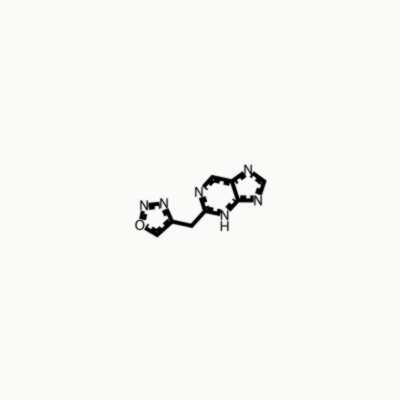 c1nc2cnc(Cc3conn3)[nH]c-2n1